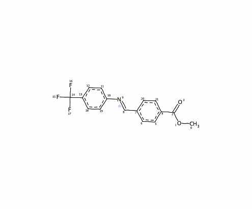 COC(=O)c1ccc(/C=N/c2ccc(C(F)(F)F)cc2)cc1